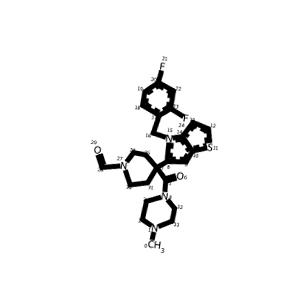 CN1CCN(C(=O)C2(c3cc4sccc4n3Cc3ccc(F)cc3F)CCN(C=O)CC2)CC1